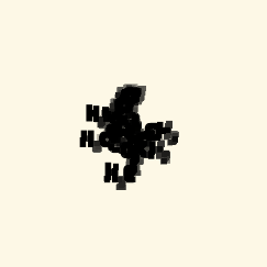 C=CCCC(=O)C(=C)C(CCC)CC(=O)C1C(C(=O)C(N)C2Cc3ccccc3C2)CC2C1C2(C)C